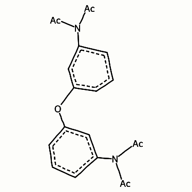 CC(=O)N(C(C)=O)c1cccc(Oc2cccc(N(C(C)=O)C(C)=O)c2)c1